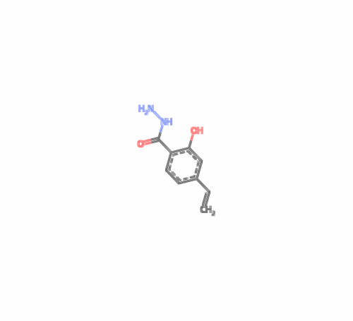 C=Cc1ccc(C(=O)NN)c(O)c1